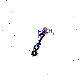 CS(=O)(=O)Nc1ccc(C#CCCN2CC=C(c3ccccc3)CC2)nc1